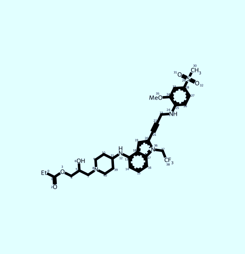 CCC(=O)OCC(O)CN1CCC(Nc2cccc3c2cc(C#CCNc2ccc(S(C)(=O)=O)cc2OC)n3CC(F)(F)F)CC1